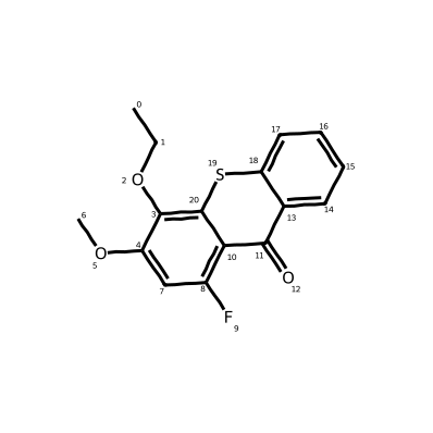 CCOc1c(OC)cc(F)c2c(=O)c3ccccc3sc12